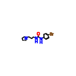 O=C(NCCCN1CCCC1)Nc1ccc(Br)cc1